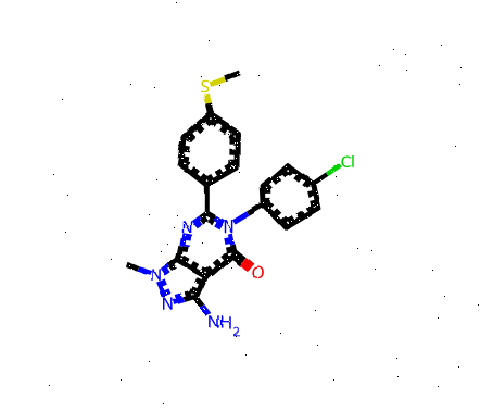 CSc1ccc(-c2nc3c(c(N)nn3C)c(=O)n2-c2ccc(Cl)cc2)cc1